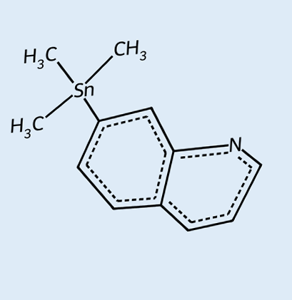 [CH3][Sn]([CH3])([CH3])[c]1ccc2cccnc2c1